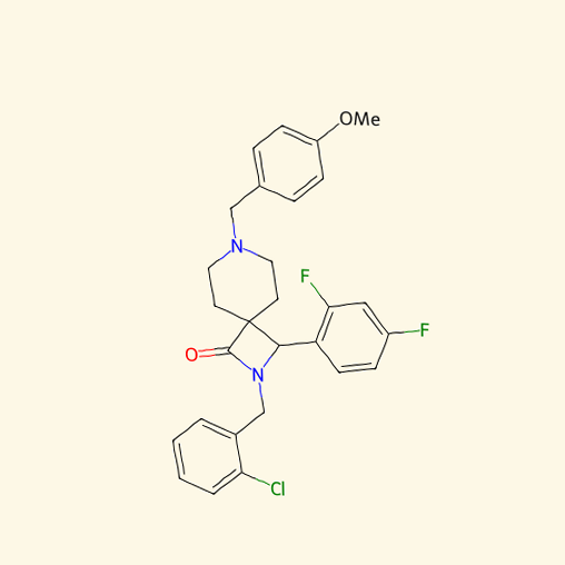 COc1ccc(CN2CCC3(CC2)C(=O)N(Cc2ccccc2Cl)C3c2ccc(F)cc2F)cc1